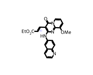 CCOC(=O)/C=C/c1c(Nc2ccc3ncccc3c2)nc2c(OC)cccn2c1=O